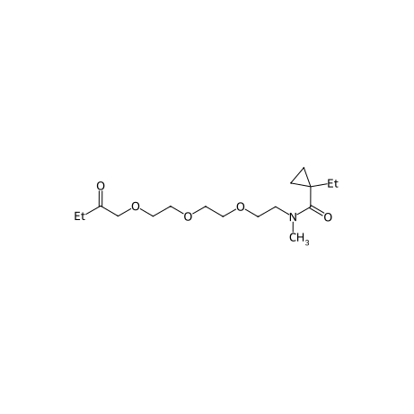 CCC(=O)COCCOCCOCCN(C)C(=O)C1(CC)CC1